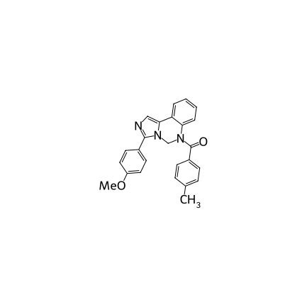 COc1ccc(-c2ncc3n2CN(C(=O)c2ccc(C)cc2)c2ccccc2-3)cc1